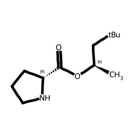 C[C@H](CC(C)(C)C)OC(=O)[C@H]1CCCN1